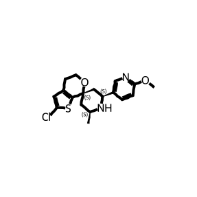 COc1ccc([C@@H]2C[C@]3(C[C@H](C)N2)OCCc2cc(Cl)sc23)cn1